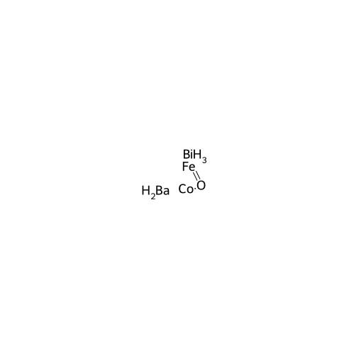 [BaH2].[BiH3].[Co].[O]=[Fe]